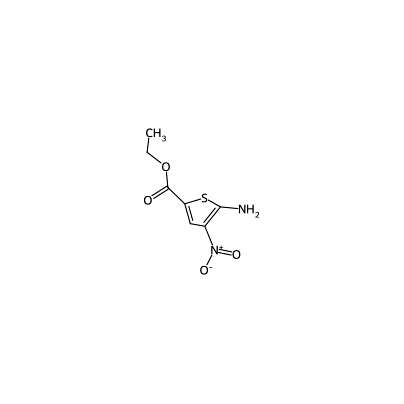 CCOC(=O)c1cc([N+](=O)[O-])c(N)s1